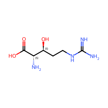 N=C(N)NCC[C@H](O)[C@H](N)C(=O)O